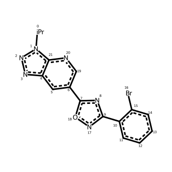 CC(C)n1nnc2cc(-c3nc(-c4ccccc4Br)no3)cnc21